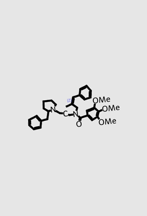 COc1cc(C(=O)N(CCCN2CCCCC2Cc2ccccc2)C/C(C)=C\c2ccccc2)cc(OC)c1OC